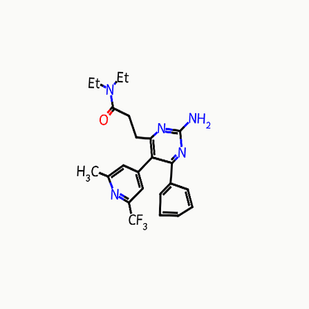 CCN(CC)C(=O)CCc1nc(N)nc(-c2ccccc2)c1-c1cc(C)nc(C(F)(F)F)c1